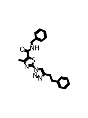 Cc1nc(-n2cc(CCc3ccccc3)nn2)sc1C(=O)NCc1ccccc1